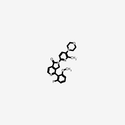 [CH2]c1nc(N2Cc3c(ccnc3-c3c(F)cccc3OC)C2=O)ccc1N1CCOCC1